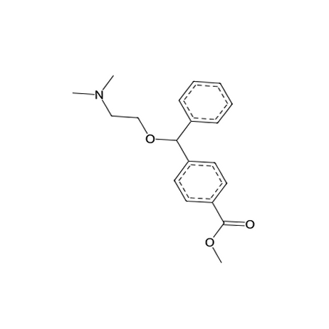 COC(=O)c1ccc(C(OCCN(C)C)c2ccccc2)cc1